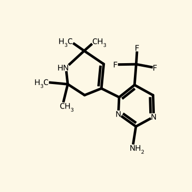 CC1(C)C=C(c2nc(N)ncc2C(F)(F)F)CC(C)(C)N1